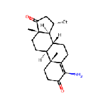 CC[C@H]1CC(=O)[C@@]2(C)CC[C@H]3[C@@H](CCC4=C(N)C(=O)CC[C@@]43C)[C@H]12